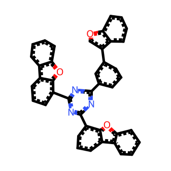 c1cc(-c2nc(-c3cccc4c3oc3ccccc34)nc(-c3cccc4c3oc3ccccc34)n2)cc(-c2coc3ccccc23)c1